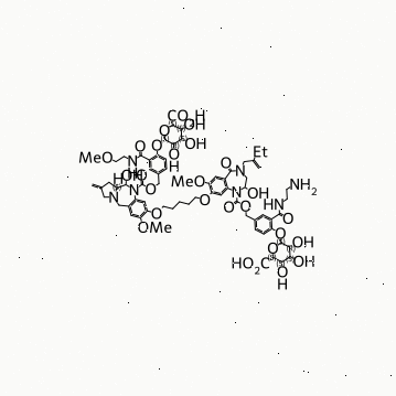 C=C(CC)CN1CC(O)N(C(=O)OCc2ccc(O[C@@H]3O[C@H](C(=O)O)[C@@H](O)[C@H](O)[C@H]3O)c(C(=O)NCCN)c2)c2cc(OCCCCCOc3cc4c(cc3OC)CN3CC(=C)C[C@H]3C(O)N4C(=O)OCc3ccc(O[C@@H]4O[C@H](C(=O)O)[C@@H](O)[C@H](O)[C@H]4O)c(C(=O)NCCOC)c3)c(OC)cc2C1=O